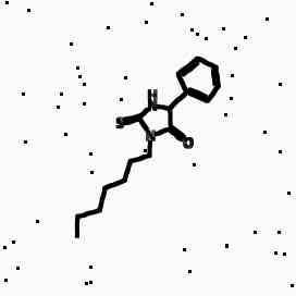 CCCCCCCN1C(=O)C(c2ccccc2)NC1=S